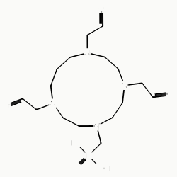 O=CCN1CCCN(CC=O)CCN(CP(=O)(O)O)CCN(CC=O)CC1